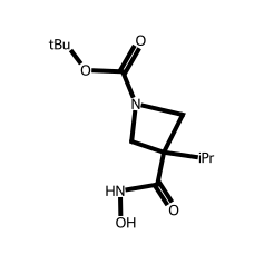 CC(C)C1(C(=O)NO)CN(C(=O)OC(C)(C)C)C1